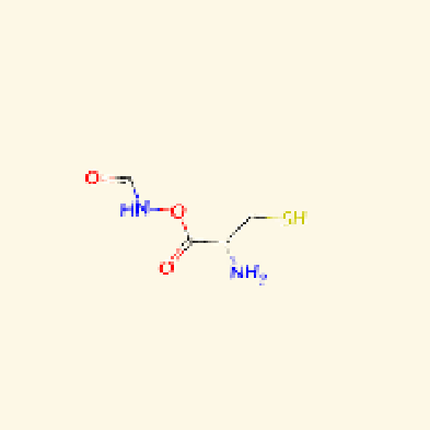 N[C@@H](CS)C(=O)ONC=O